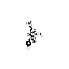 Cn1c(=O)n(CCCOPI)c(=O)c2c1nc(S)n2Cc1ccc(Cl)cc1